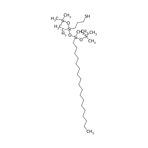 CCCCCCCCCCCCCCCCCC[Si](C)(O[Si](C)(C)C)O[Si](C)(CCCS)O[Si](C)(C)C